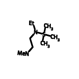 CCN(CCNC)S(C)(C)C